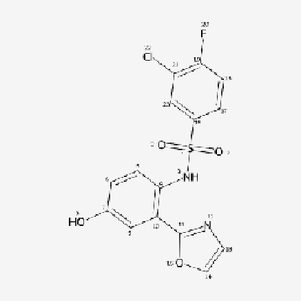 O=S(=O)(Nc1ccc(O)cc1-c1ncco1)c1ccc(F)c(Cl)c1